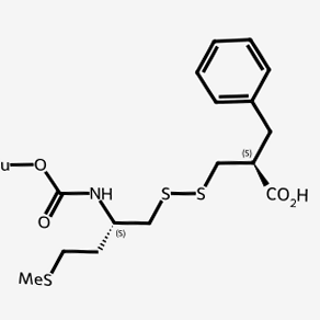 CSCC[C@@H](CSSC[C@@H](Cc1ccccc1)C(=O)O)NC(=O)OC(C)(C)C